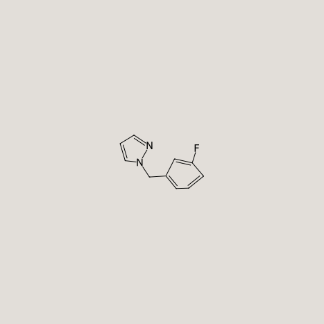 Fc1cccc(Cn2cccn2)c1